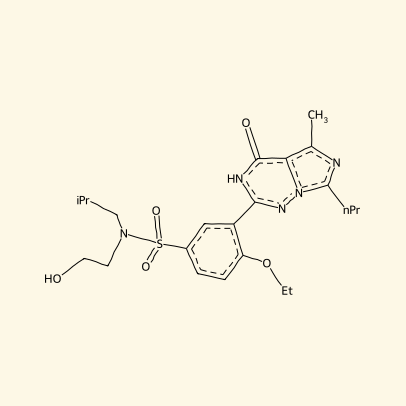 CCCc1nc(C)c2c(=O)[nH]c(-c3cc(S(=O)(=O)N(CCO)CC(C)C)ccc3OCC)nn12